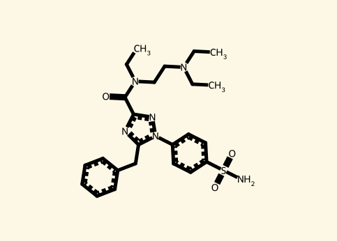 CCN(CC)CCN(CC)C(=O)c1nc(Cc2ccccc2)n(-c2ccc(S(N)(=O)=O)cc2)n1